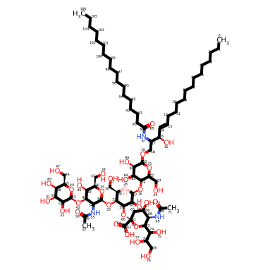 CCCCCCCCCCCCC/C=C/[C@@H](O)C(COC1OC(CO)[C@@H](O[C@@H]2B[C@H](CO)[C@H](O[C@@H]3O[C@H](CO)[C@H](O)[C@H](O[C@@H]4O[C@H](CO)[C@H](O)[C@H](O)C4O)C3NC(C)=O)[C@H](O[C@]3(C(=O)O)CC(O)[C@@H](NC(C)=O)C(C(O)C(O)CO)O3)C2O)C(O)[C@H]1O)NC(=O)CCCCCCCCCCCCCCCCC